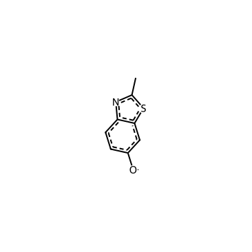 Cc1nc2ccc([O])cc2s1